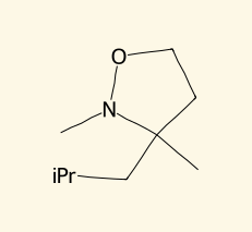 CC(C)CC1(C)CCON1C